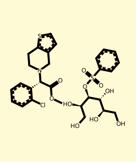 COC(=O)[C@H](c1ccccc1Cl)N1CCc2sccc2C1.O=S(=O)(O[C@@H]([C@H](O)[C@H](O)CO)[C@H](O)CO)c1ccccc1